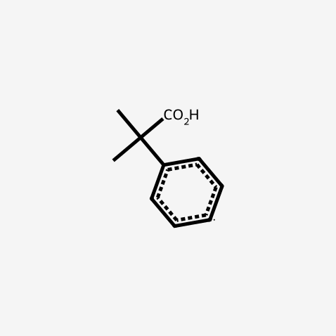 CC(C)(C(=O)O)c1cc[c]cc1